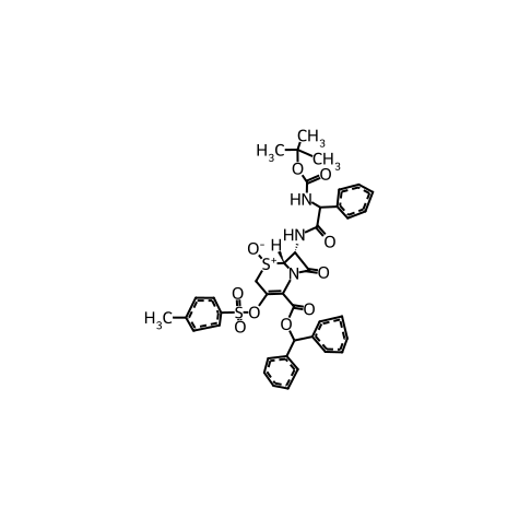 Cc1ccc(S(=O)(=O)OC2=C(C(=O)OC(c3ccccc3)c3ccccc3)N3C(=O)[C@@H](NC(=O)C(NC(=O)OC(C)(C)C)c4ccccc4)[C@H]3[S+]([O-])C2)cc1